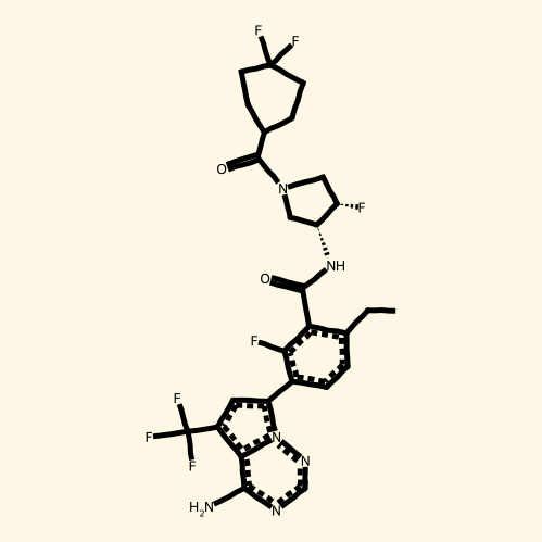 CCc1ccc(-c2cc(C(F)(F)F)c3c(N)ncnn23)c(F)c1C(=O)N[C@@H]1CN(C(=O)C2CCC(F)(F)CC2)C[C@@H]1F